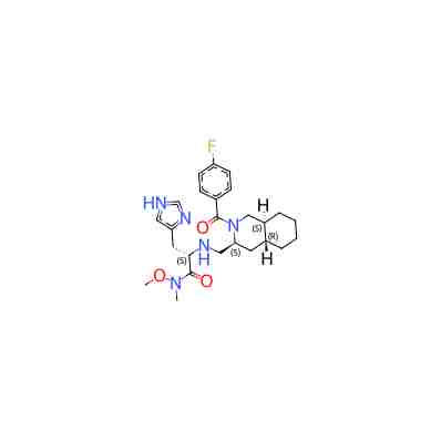 CON(C)C(=O)[C@H](Cc1c[nH]cn1)NC[C@@H]1C[C@H]2CCCC[C@@H]2CN1C(=O)c1ccc(F)cc1